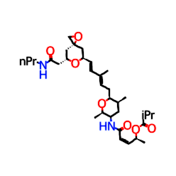 CCCNC(=O)C[C@@H]1C[C@@]2(CO2)C[C@@H](/C=C/C(C)=C/C[C@@H]2O[C@H](C)[C@H](NC(=O)/C=C\[C@H](C)OC(=O)C(C)C)C[C@@H]2C)O1